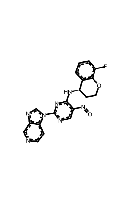 O=Nc1cnc(-n2cnc3cnccc32)nc1N[C@@H]1CCOc2c(F)cccc21